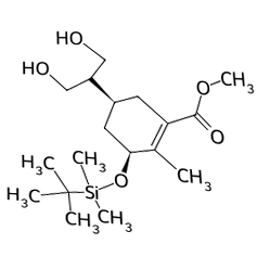 COC(=O)C1=C(C)[C@@H](O[Si](C)(C)C(C)(C)C)C[C@@H](C(CO)CO)C1